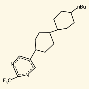 CCCCC1CCC(C2CCC(c3cnc(C(F)(F)F)nc3)CC2)CC1